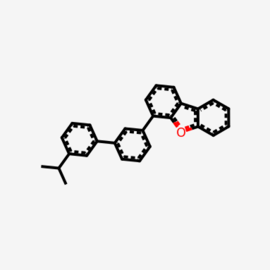 CC(C)c1cccc(-c2cccc(-c3cccc4c3oc3ccccc34)c2)c1